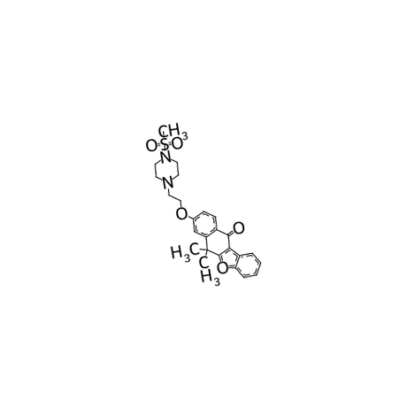 CC1(C)c2cc(OCCN3CCN(S(C)(=O)=O)CC3)ccc2C(=O)c2c1oc1ccccc21